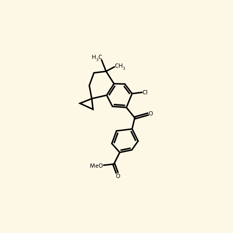 COC(=O)c1ccc(C(=O)c2cc3c(cc2Cl)C(C)(C)CCC32CC2)cc1